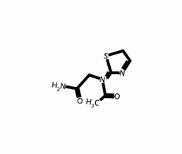 CC(=O)[N+](CC(N)=O)=C1N=CCS1